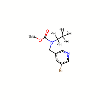 [2H]C([2H])([2H])C([2H])([2H])N(Cc1cncc(Br)c1)C(=O)OC(C)(C)C